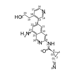 N#C[C@H]1C[C@@H]1C(=O)Nc1cc2cc(-c3cnccc3CCO)cc(N)c2cn1